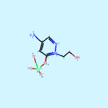 Nc1cn[n+](CCO)c(O[Cl+3]([O-])([O-])[O-])c1